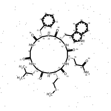 CSCC[C@@H]1NC(=O)[C@H](CC(C)C)NC(=O)CNC(=O)[C@H](Cc2ccccc2)NC(=O)[C@H](Cc2c[nH]c3ccccc23)NC(=O)[C@H](CCC(N)=O)NC1=O